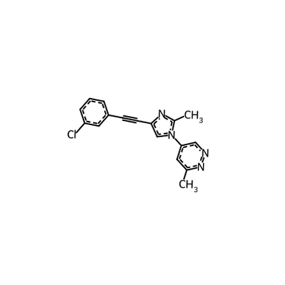 Cc1cc(-n2cc(C#Cc3cccc(Cl)c3)nc2C)cnn1